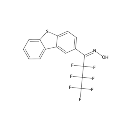 O/N=C(/c1ccc2sc3ccccc3c2c1)C(F)(F)C(F)(F)C(F)(F)F